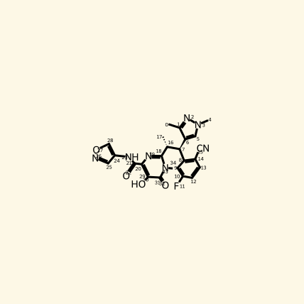 Cc1nn(C)cc1[C@@H](c1cc(F)ccc1C#N)[C@@H](C)c1nc(C(=O)Nc2cnoc2)c(O)c(=O)n1C